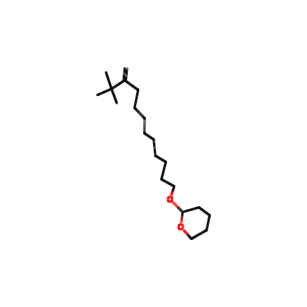 C=C(CCCCCCCCCOC1CCCCO1)C(C)(C)C